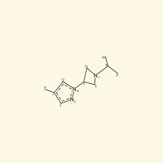 Cc1cnn(C2CN(C(C)C)C2)c1